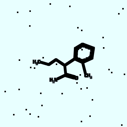 CCCC(C(N)=O)c1ccccc1C